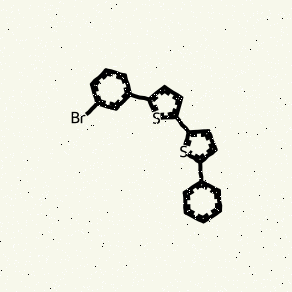 Brc1cccc(-c2ccc(-c3ccc(-c4ccccc4)s3)s2)c1